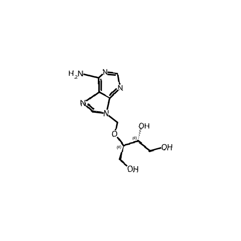 Nc1ncnc2c1ncn2CO[C@H](CO)[C@H](O)CO